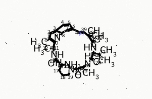 Cc1cc2ccc3cc2nc1[C@@H](C)NC(=O)[C@@H]1CCCN(N1)C(=O)[C@H](C)NC(=O)[C@H](C(C)C)NC(=O)C(C)(C)/C=C/3